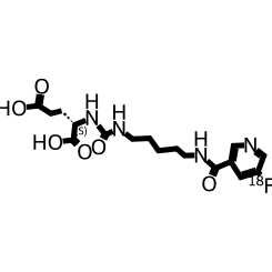 O=C(O)CC[C@H](NC(=O)NCCCCCNC(=O)c1cncc([18F])c1)C(=O)O